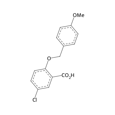 COc1ccc(COc2ccc(Cl)cc2C(=O)O)cc1